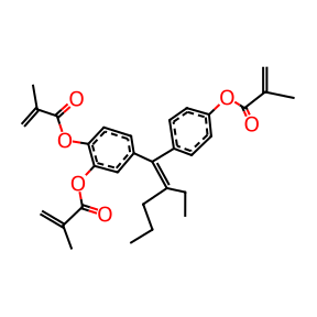 C=C(C)C(=O)Oc1ccc(/C(=C(\CC)CCC)c2ccc(OC(=O)C(=C)C)c(OC(=O)C(=C)C)c2)cc1